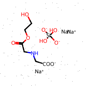 O=C([O-])CNCC(=O)OCCO.[Na+].[Na+].[Na+].[O-][Si]([O-])(O)O